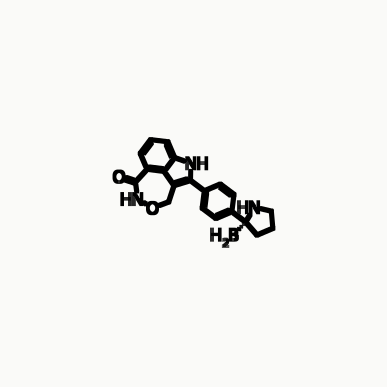 B[C@@]1(c2ccc(-c3[nH]c4cccc5c4c3CONC5=O)cc2)CCCN1